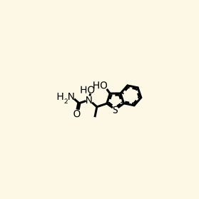 CC(c1sc2ccccc2c1O)N(O)C(N)=O